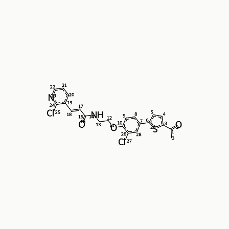 CC(=O)c1ccc(-c2ccc(OCCNC(=O)C=Cc3cccnc3Cl)c(Cl)c2)s1